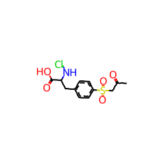 CC(=O)CS(=O)(=O)c1ccc(CC(NCl)C(=O)O)cc1